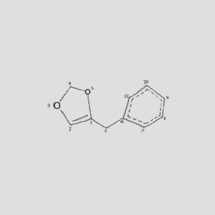 [CH](C1=COCO1)c1ccccc1